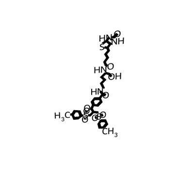 Cc1ccc(S(=O)(=O)CC(CS(=O)(=O)c2ccc(C)cc2)C(=O)c2ccc(C(=O)NCCCCC(CO)NC(=O)CCCCC3SCC4NC(=O)NC43)cc2)cc1